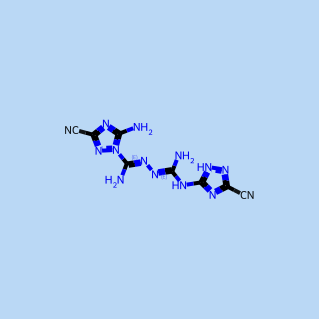 N#Cc1n[nH]c(N/C(N)=N/N=C(\N)n2nc(C#N)nc2N)n1